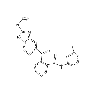 O=C(O)Nc1nc2ccc(C(=O)c3ccccc3C(=O)Nc3cccc(F)c3)cc2[nH]1